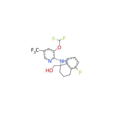 OCC1(Nc2ncc(C(F)(F)F)cc2OC(F)F)CCCc2c(F)cccc21